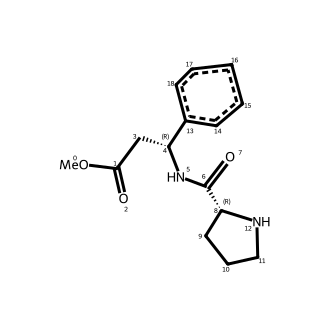 COC(=O)C[C@@H](NC(=O)[C@H]1CCCN1)c1ccccc1